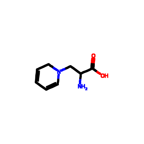 NC(CN1C=CC=CC1)C(=O)O